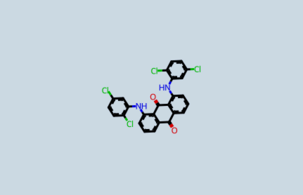 O=C1c2cccc(Nc3cc(Cl)ccc3Cl)c2C(=O)c2c(Nc3cc(Cl)ccc3Cl)cccc21